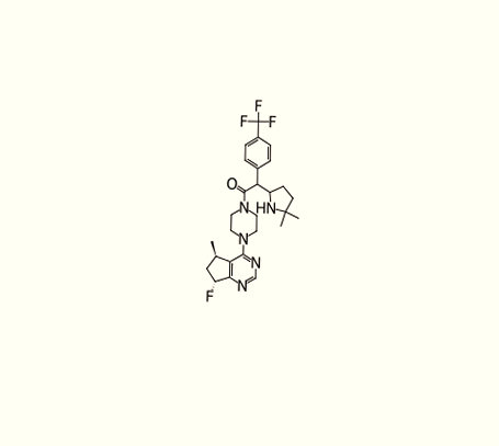 C[C@@H]1C[C@@H](F)c2ncnc(N3CCN(C(=O)C(c4ccc(C(F)(F)F)cc4)C4CCC(C)(C)N4)CC3)c21